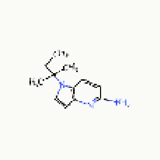 CCC(C)(C)n1ccc2nc(N)ccc21